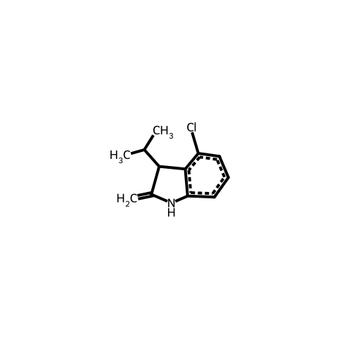 C=C1Nc2cccc(Cl)c2C1C(C)C